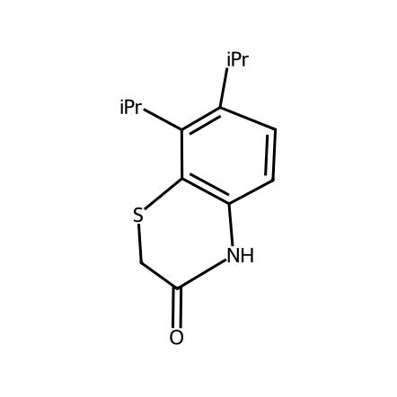 CC(C)c1ccc2c(c1C(C)C)SCC(=O)N2